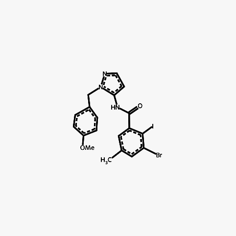 COc1ccc(Cn2nccc2NC(=O)c2cc(C)cc(Br)c2I)cc1